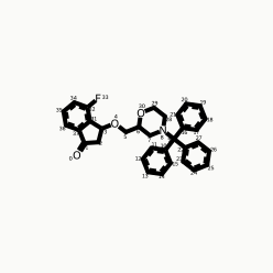 O=C1CC(OCC2CN(C(c3ccccc3)(c3ccccc3)c3ccccc3)CCO2)c2c(F)cccc21